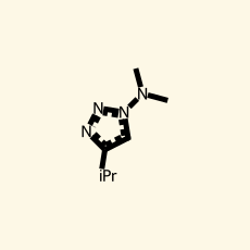 CC(C)c1cn(N(C)C)nn1